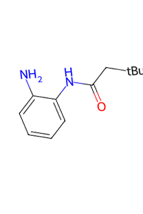 CC(C)(C)CC(=O)Nc1ccccc1N